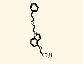 O=C(O)COc1cccc2c1ccn2CCOCCc1ccccc1